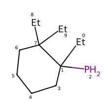 CCC1(P)CCCCC1(CC)CC